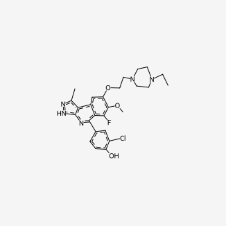 CCN1CCN(CCOc2cc3c(c(-c4ccc(O)c(Cl)c4)nc4[nH]nc(C)c43)c(F)c2OC)CC1